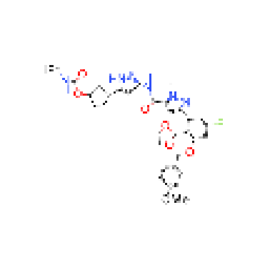 COc1ccc(COc2cc(F)cc(-c3cc(C(=O)Nc4cc([C@H]5CC[C@@H](OC(=O)NC(C)C)C5)[nH]n4)n(C)n3)c2C2OCCO2)cc1